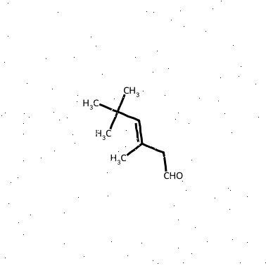 C/C(=C\C(C)(C)C)CC=O